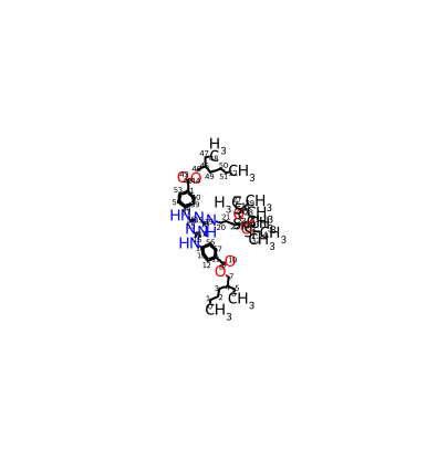 CCCCC(CC)COC(=O)c1ccc(Nc2nc(NCCC[Si](C)(O[Si](C)(C)C)O[Si](C)(C)C)nc(Nc3ccc(C(=O)OCC(CC)CCCC)cc3)n2)cc1